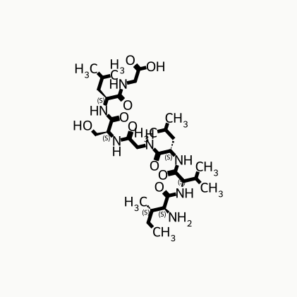 CC[C@H](C)[C@H](N)C(=O)N[C@H](C(=O)N[C@@H](CC(C)C)C(=O)NCC(=O)N[C@@H](CO)C(=O)N[C@@H](CC(C)C)C(=O)NCC(=O)O)C(C)C